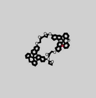 c1ccc2c(c1)Cc1ccccc1C2(c1ccc2cc(OCC3OC3C3CC(Oc4ccc5cc(C6(c7ccc8cc(OCC9CO9)ccc8c7)c7ccccc7Oc7ccccc76)ccc5c4)O3)ccc2c1)c1ccc2cc(OC3CCO3)ccc2c1